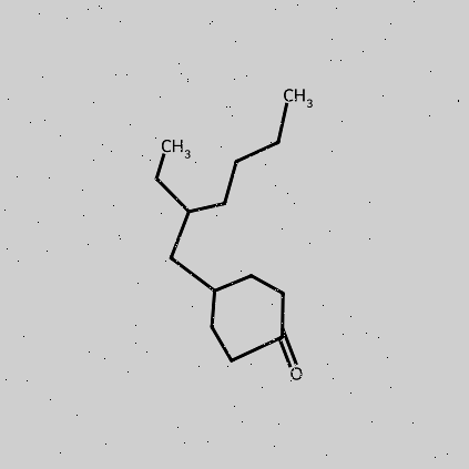 CCCCC(CC)CC1CCC(=O)CC1